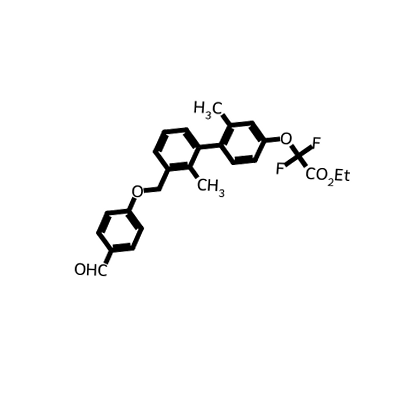 CCOC(=O)C(F)(F)Oc1ccc(-c2cccc(COc3ccc(C=O)cc3)c2C)c(C)c1